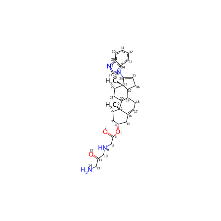 C[C@]12CC[C@H](OC(=O)CNCC(=O)CN)CC1=CCC1C2CC[C@]2(C)C(n3cnc4ccccc43)=CCC12